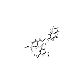 COc1cc(OC)cc(OCC(=Cc2ccc(C(=O)O)cc2)CNc2cnc3ccccc3c2)c1